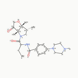 CCC[C@@H]1CN(C(=O)C(CC(C)C)NC(=O)c2ccc(N3CCN(C)CC3)cc2)[C@@H]2C(=O)CO[C@H]12